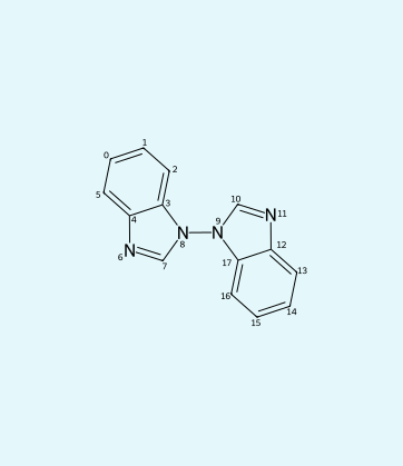 c1ccc2c(c1)ncn2-n1cnc2ccccc21